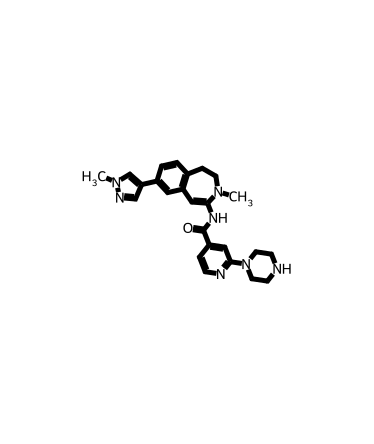 CN1CCc2ccc(-c3cnn(C)c3)cc2C=C1NC(=O)c1ccnc(N2CCNCC2)c1